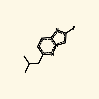 CC(C)Cc1ccc2nc(F)cn2n1